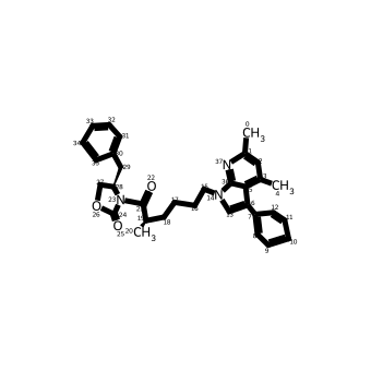 Cc1cc(C)c2c(-c3ccccc3)cn(CCCC[C@@H](C)C(=O)N3C(=O)OC[C@H]3Cc3ccccc3)c2n1